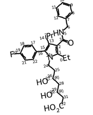 CCc1c(C(=O)NCc2ccccc2)c(C(C)C)c(-c2ccc(F)cc2)n1CC[C@@H](O)C[C@@H](O)CC(=O)O